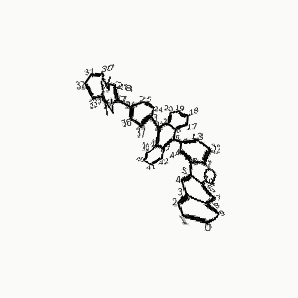 c1ccc2cc3c(cc2c1)oc1ccc(-c2c4ccccc4c(-c4ccc(-c5cn6ccccc6n5)cc4)c4ccccc24)cc13